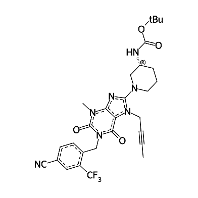 CC#CCn1c(N2CCC[C@@H](NC(=O)OC(C)(C)C)C2)nc2c1c(=O)n(Cc1ccc(C#N)cc1C(F)(F)F)c(=O)n2C